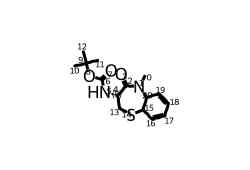 CN1C(=O)[C@@H](NC(=O)OC(C)(C)C)CSC2C=CC=CC21